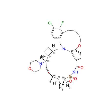 C[C@@H]1[C@@H](C)S(=O)(=O)NC(=O)c2ccc3c(c2)N(Cc2ccc(Cl)c(F)c2CCCCO3)C[C@@H]2CC[C@H]2[C@@H](N2CCOCC2)C2=C[C@H]1C2